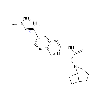 C=C(CN1C2CCC3CCC321)Nc1cc2cc(/C(N)=C/N(C)N)ccc2cn1